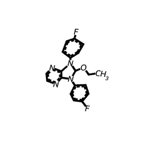 CCOC1N(c2ccc(F)cc2)c2nccnc2N1c1ccc(F)cc1